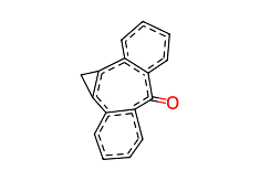 O=c1c2ccccc2c2c(c3ccccc13)C2